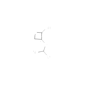 CCC(C#N)OC1COC1C